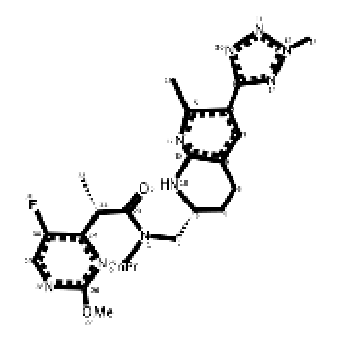 CCCN(C[C@H]1CCc2cc(-c3nnn(C)n3)c(C)nc2N1)C(=O)[C@@H](C)c1nc(OC)ncc1F